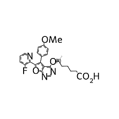 COc1ccc(-c2c(-c3ncccc3F)oc3ncnc(O[C@H](C)CCCCC(=O)O)c23)cc1